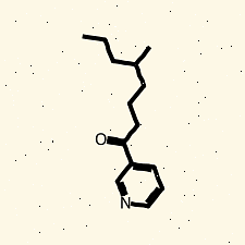 CCCC(C)CCCC(=O)c1cccnc1